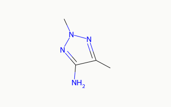 Cc1nn(C)nc1N